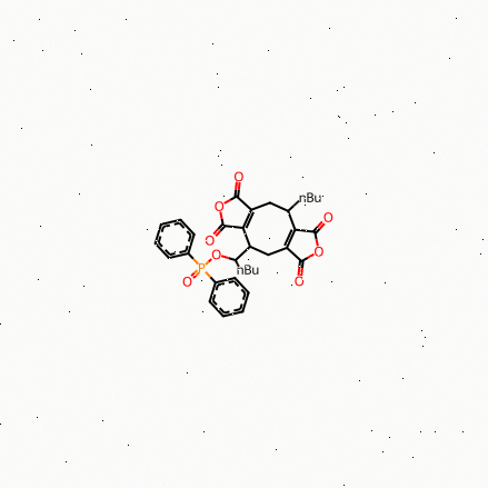 CCCCC1CC2=C(C(=O)OC2=O)C(C(CCCC)OP(=O)(c2ccccc2)c2ccccc2)CC2=C1C(=O)OC2=O